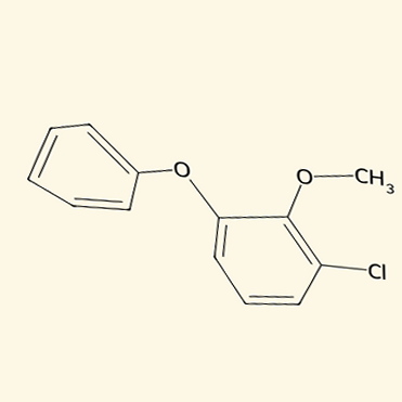 COc1c(Cl)cccc1Oc1ccccc1